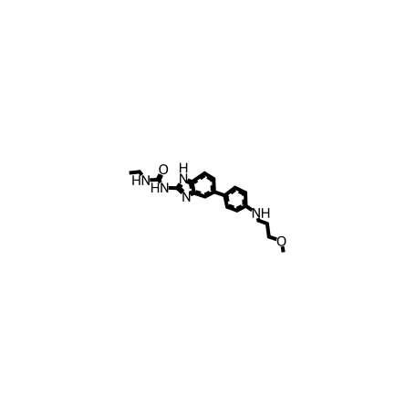 CCNC(=O)Nc1nc2cc(-c3ccc(NCCCOC)cc3)ccc2[nH]1